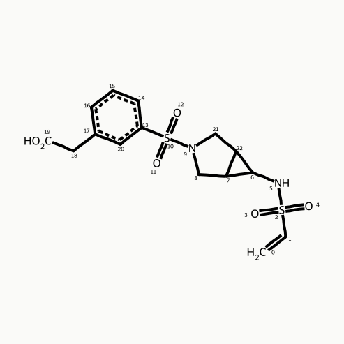 C=CS(=O)(=O)NC1C2CN(S(=O)(=O)c3cccc(CC(=O)O)c3)CC21